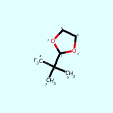 CC(C)(C1OCCO1)C(F)(F)F